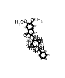 [2H]C1(CC2([2H])C([2H])([2H])C([2H])([2H])N(C([2H])([2H])c3ccccc3)C([2H])([2H])C2([2H])[2H])Cc2cc(OC)c(OC)cc2C1=O